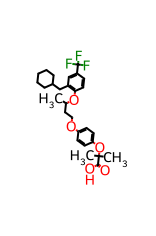 CC(CCOc1ccc(OC(C)(C)C(=O)O)cc1)Oc1ccc(C(F)(F)F)cc1CC1CCCCC1